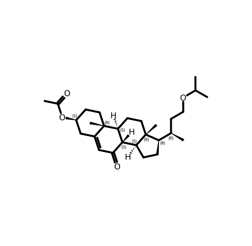 CC(=O)O[C@H]1CC[C@@]2(C)C(=CC(=O)[C@H]3[C@@H]4CC[C@H]([C@H](C)CCOC(C)C)[C@@]4(C)CC[C@@H]32)C1